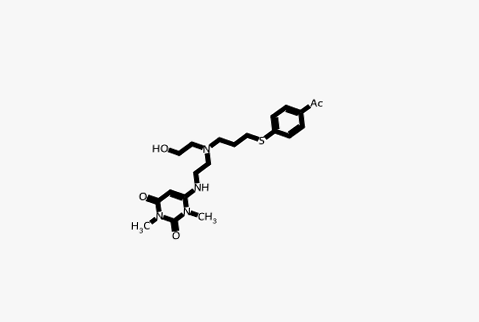 CC(=O)c1ccc(SCCCN(CCO)CCNc2cc(=O)n(C)c(=O)n2C)cc1